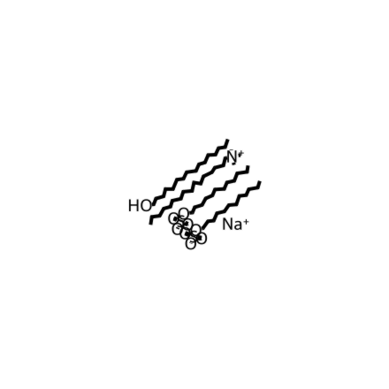 CCCCCCCCCCCCCCCCO.CCCCCCCCCCCCCCCC[N+](C)(C)C.CCCCCCCCCCCCOS(=O)(=O)[O-].CCCCCCCCCCCCOS(=O)(=O)[O-].[Na+]